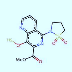 COC(=O)c1nc(N2CCCS2(=O)=O)c2cccnc2c1OS